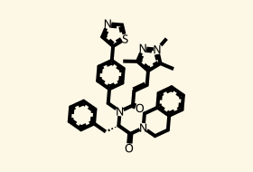 Cc1nn(C)c(C)c1C=CC(=O)N(Cc1ccc(-c2cncs2)cc1)[C@@H](Cc1ccccc1)C(=O)N1CCc2ccccc2C1